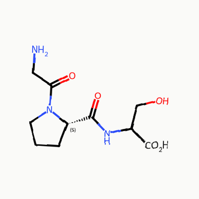 NCC(=O)N1CCC[C@H]1C(=O)NC(CO)C(=O)O